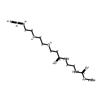 CC(C)(C)OC(=O)NCCNC(=O)CCOCCOCCN=[N+]=[N-]